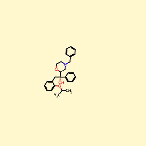 CC(C)Oc1ccccc1C[C@@](O)(c1ccccc1)[C@@H]1CN(Cc2ccccc2)CCO1